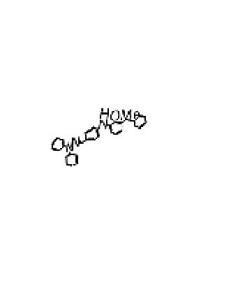 COc1c(Cc2ccccc2)cccc1Nc1ccc(C=NN(c2ccccc2)c2ccccc2)cc1